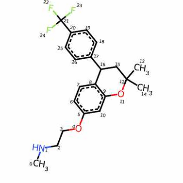 CNCCOc1ccc2c(c1)OC(C)(C)CC2c1ccc(C(F)(F)F)cc1